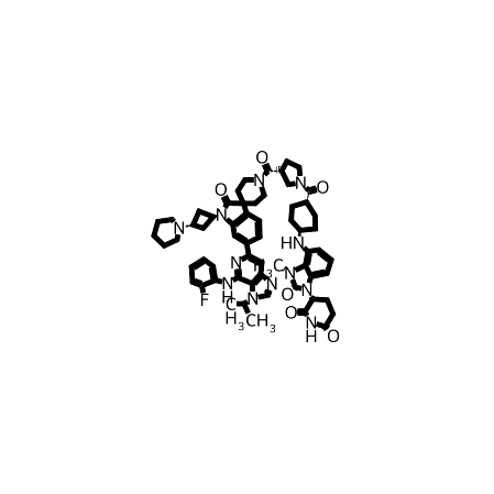 CC(C)n1cnc2cc(-c3ccc4c(c3)N([C@H]3C[C@@H](N5CCCCC5)C3)C(=O)C43CCN(C(=O)[C@@H]4CCN(C(=O)[C@H]5CC[C@H](Nc6cccc7c6n(C)c(=O)n7C6CCC(=O)NC6=O)CC5)C4)CC3)nc(Nc3ccccc3F)c21